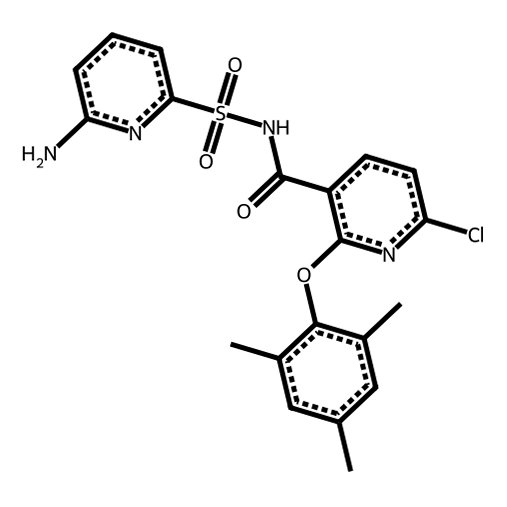 Cc1cc(C)c(Oc2nc(Cl)ccc2C(=O)NS(=O)(=O)c2cccc(N)n2)c(C)c1